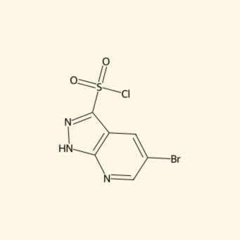 O=S(=O)(Cl)c1n[nH]c2ncc(Br)cc12